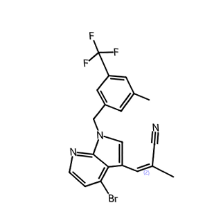 C/C(C#N)=C/c1cn(Cc2cc(C)cc(C(F)(F)F)c2)c2nccc(Br)c12